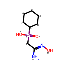 NC(CP(=O)(O)C1CCCCC1)=NO